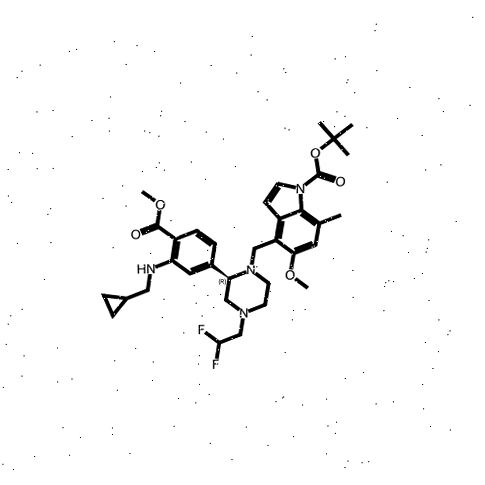 COC(=O)c1ccc([C@@H]2CN(CC(F)F)CCN2Cc2c(OC)cc(C)c3c2ccn3C(=O)OC(C)(C)C)cc1NCC1CC1